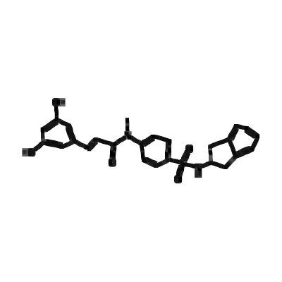 CN(C(=O)C=Cc1cc(O)cc(O)c1)c1ccc(S(=O)(=O)NC2Cc3ccccc3C2)cc1